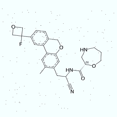 Cc1cc2c(cc1CC(C#N)NC(=O)[C@@H]1CNCCCO1)OCc1ccc(C3(F)COC3)cc1-2